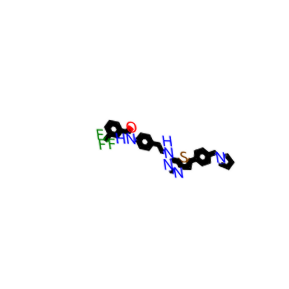 O=C(Nc1ccc(CCNc2ncnc3cc(-c4ccc(CN5CCCC5)cc4)sc23)cc1)c1cccc(C(F)(F)F)c1